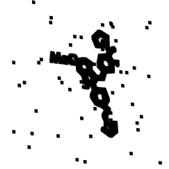 COc1ccc2c(Cc3ccc(C(C)N4CCCC4)c(C)c3)c(-c3ccc(CCN4CCCC4)cc3)sc2c1